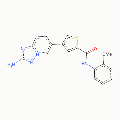 COc1ccccc1NC(=O)c1cc(-c2ccc3nc(N)nn3c2)cs1